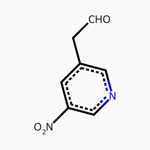 O=CCc1cncc([N+](=O)[O-])c1